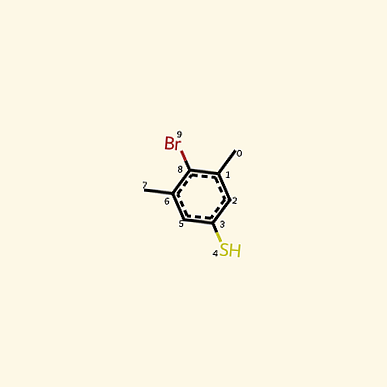 Cc1cc(S)cc(C)c1Br